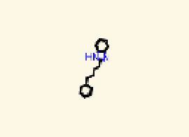 c1ccc(CCCCc2nc3ccccc3[nH]2)cc1